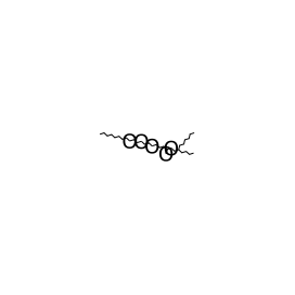 CCCCCCCCOCCOCCOCCCC(=O)OCC(CCCC)CCCCCC